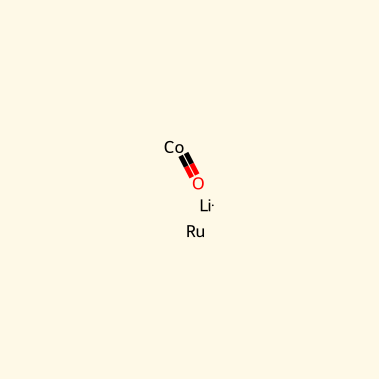 [Li].[O]=[Co].[Ru]